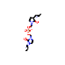 C/C=C/C1C=CN(COS(=O)(=O)OCn2ccn(/C=C/C)c2=O)C1=O